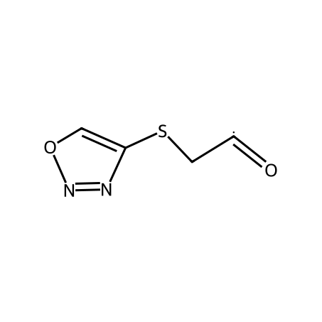 O=[C]CSc1conn1